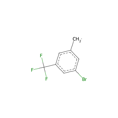 [CH2]c1cc(Br)cc(C(F)(F)F)c1